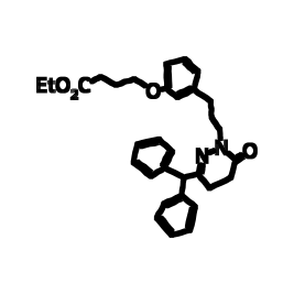 CCOC(=O)CCCOc1cccc(CCCN2N=C(C(c3ccccc3)c3ccccc3)CCC2=O)c1